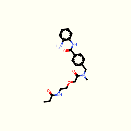 CCC(=O)NCCOCC(=O)N(C)Cc1ccc(C(=O)Nc2ccccc2N)cc1